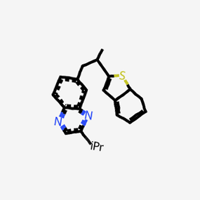 CC(Cc1ccc2ncc(C(C)C)nc2c1)C1=CC2=CC=CCC2S1